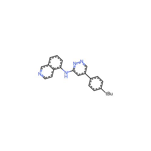 CC(C)(C)c1ccc(-c2cnnc(Nc3cccc4cnccc34)c2)cc1